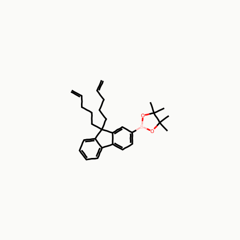 C=CCCCC1(CCCC=C)c2ccccc2-c2ccc(B3OC(C)(C)C(C)(C)O3)cc21